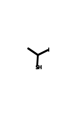 CC(S)I